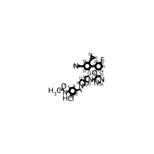 CC(=O)Nc1ccc(CN2CCC3(CCN(c4ncncc4Oc4ccc(F)cc4-c4ccc(C#N)cc4C4CC4)C3)C2)cc1Cl